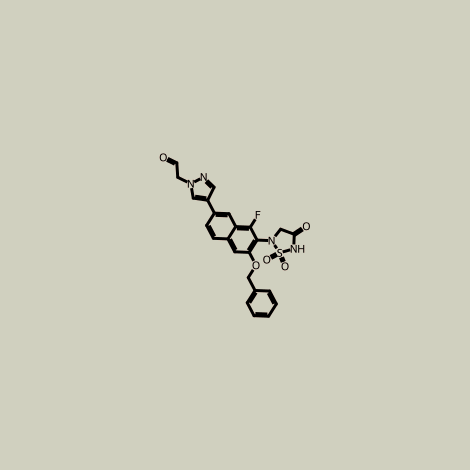 O=CCn1cc(-c2ccc3cc(OCc4ccccc4)c(N4CC(=O)NS4(=O)=O)c(F)c3c2)cn1